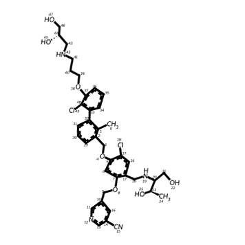 Cc1c(COc2cc(OCc3cncc(C#N)c3)c(CNC(CO)[C@@H](C)O)cc2Cl)cccc1-c1cccc(OCCCNC[C@H](O)CO)c1Cl